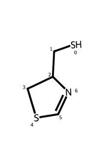 SCC1CSC=N1